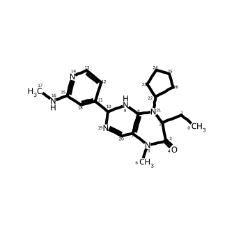 CCC1C(=O)N(C)C2=C(NC(c3ccnc(NC)c3)N=C2)N1C1CCCC1